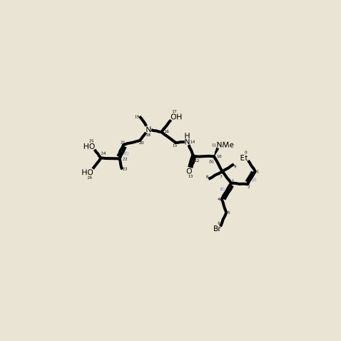 CC/C=C\C(=C/CBr)C(C)(C)[C@H](NC)C(=O)NCC(O)N(C)C/C=C(\C)C(O)O